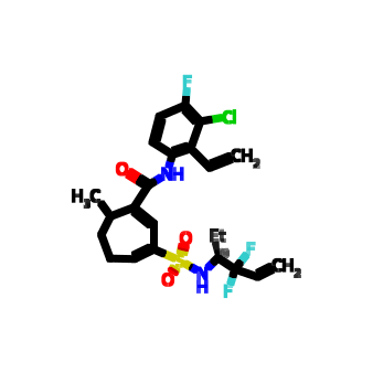 C=Cc1c(NC(=O)C2=CC(S(=O)(=O)N[C@@H](CC)C(F)(F)C=C)=CCCC2C)ccc(F)c1Cl